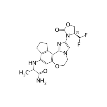 CC(Nc1cc2c(c3c1CCC3)-c1nc(N3C(=O)OC[C@H]3C(F)F)cn1CCO2)C(N)=O